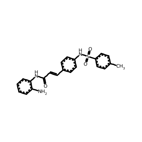 Cc1ccc(S(=O)(=O)Nc2ccc(C=CC(=O)Nc3ccccc3N)cc2)cc1